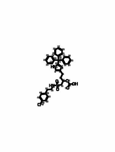 O=C(O)OC(CCc1c[nH]c(C(c2ccccc2)(c2ccccc2)c2ccccc2)n1)CS(=O)(=O)NCCc1ccc(Cl)cc1